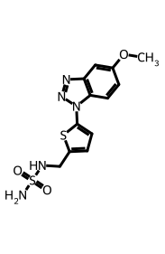 COc1ccc2c(c1)nnn2-c1ccc(CNS(N)(=O)=O)s1